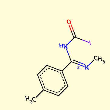 C/N=C(\NC(=O)I)c1ccc(C)cc1